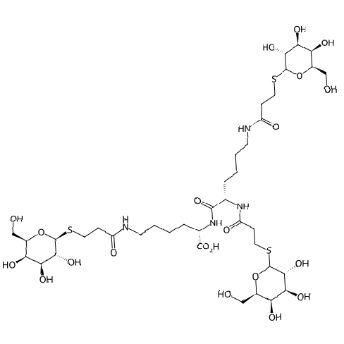 O=C(CCSC1O[C@H](CO)[C@H](O)[C@H](O)[C@H]1O)NCCCC[C@H](NC(=O)CCSC1O[C@H](CO)[C@H](O)[C@H](O)[C@H]1O)C(=O)N[C@@H](CCCCNC(=O)CCS[C@@H]1O[C@H](CO)[C@H](O)[C@H](O)[C@H]1O)C(=O)O